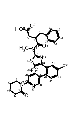 CN(C(=O)C(CC(=O)O)Cc1ccccc1)c1nc(-c2cc(F)ccc2-c2ccc(N3CCCCC3=O)nc2)c(F)s1